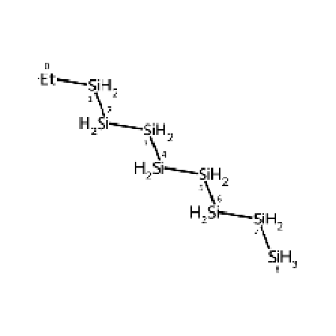 C[CH][SiH2][SiH2][SiH2][SiH2][SiH2][SiH2][SiH2][SiH3]